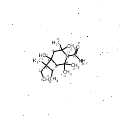 CCC(C)(CC)C1(O)CC(C)(C)N(C(N)=O)C(C)(C)C1